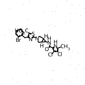 Cc1[nH]c(C(=O)NC2[C@H]3CN(c4nc(Cc5ccccc5Br)c(C(=O)O)s4)C[C@@H]23)c(Cl)c1Cl